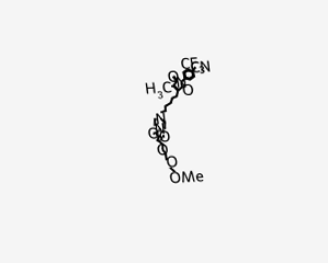 COCCOCCOCCS(=O)(=O)N1CCN(CCCCCCC2=C(C)C(=O)N(c3ccc(C#N)c(C(F)(F)F)c3)C2=O)CC1